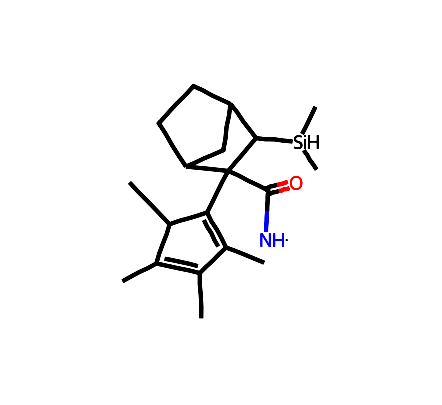 CC1=C(C)C(C)C(C2(C([NH])=O)C3CCC(C3)C2[SiH](C)C)=C1C